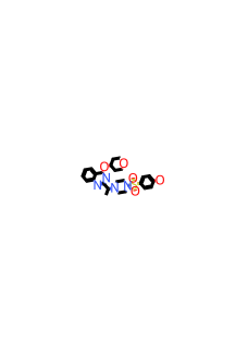 COc1ccc(S(=O)(=O)N2CCN(C(C)c3nc(OC4CCOCC4)c4ccccc4n3)CC2)cc1